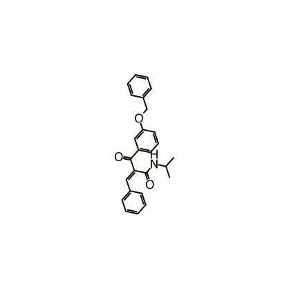 CC(C)NC(=O)C(=Cc1ccccc1)C(=O)c1cccc(OCc2ccccc2)c1